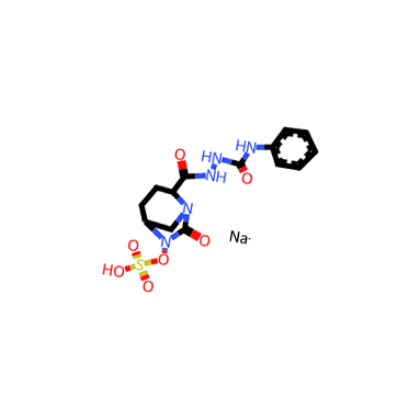 O=C(NNC(=O)C1CCC2CN1C(=O)N2OS(=O)(=O)O)Nc1ccccc1.[Na]